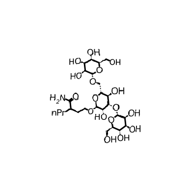 CCCC(CCO[C@H]1O[C@H](CO[C@H]2O[C@H](CO)[C@@H](O)[C@H](O)[C@@H]2O)[C@@H](O)[C@H](O[C@H]2O[C@H](CO)[C@@H](O)[C@H](O)[C@@H]2O)[C@@H]1O)C(N)=O